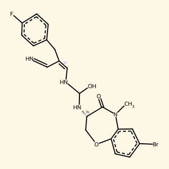 CN1C(=O)[C@@H](NC(O)N/C=C(\C=N)Cc2ccc(F)cc2)COc2ccc(Br)cc21